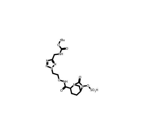 CC(C)(C)OC(=O)NCc1nnn(CCONC(=O)C2CCC3CN2C(=O)N3OS(=O)(=O)O)n1